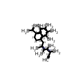 B=C(B)C1=c2c(O)c(B)c(B)c(B)c2=C(C/C(B)=C(B)\C(B)=C(\B)C#C)CC1